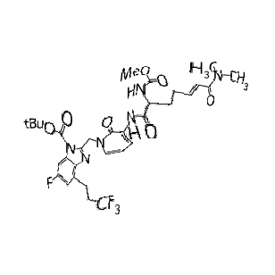 COC(=O)NC(CC/C=C/C(=O)N(C)C)C(=O)Nc1cccn(Cc2nc3c(CCC(F)(F)F)cc(F)cc3n2C(=O)OC(C)(C)C)c1=O